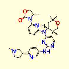 C[C@H]1COC(=O)N1c1cccc(N2c3nc(Nc4ccc([C@@H]5CCN(C)C5)nc4)ncc3[C@@]3(C)COC(C)(C)C[C@@H]23)n1